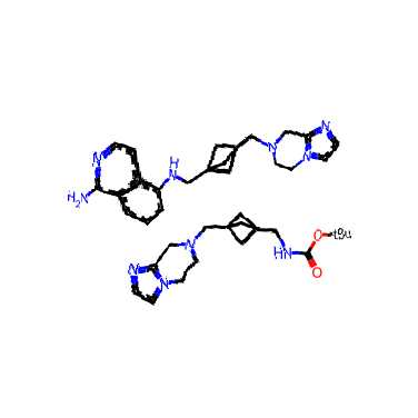 CC(C)(C)OC(=O)NCC12CC(CN3CCn4ccnc4C3)(C1)C2.Nc1nccc2c(NCC34CC(CN5CCn6ccnc6C5)(C3)C4)cccc12